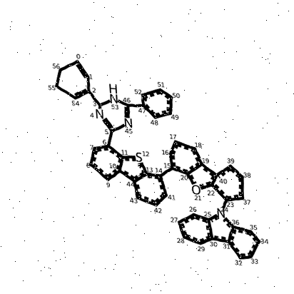 C1=CC(C2N=C(c3cccc4c3sc3c(-c5cccc6c5oc5c(-n7c8ccccc8c8ccccc87)cccc56)cccc34)N=C(c3ccccc3)N2)=CCC1